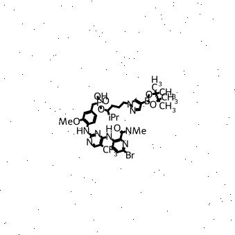 CNC(=O)c1nc(Br)ccc1Nc1nc(Nc2ccc(CP(=O)(O)OC(CCCn3cc(B4OC(C)(C)C(C)(C)O4)cn3)C(C)C)cc2OC)ncc1C(F)(F)F